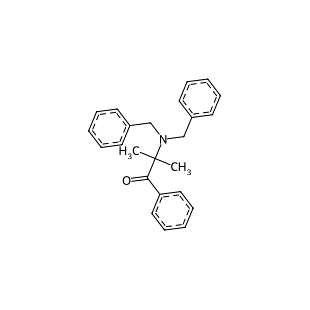 CC(C)(C(=O)c1ccccc1)N(Cc1ccccc1)Cc1ccccc1